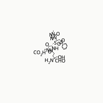 Cn1nnn(C(CS(=O)(=O)c2ccccc2)SC[C@H](NC(=O)CC[C@](N)(C=O)CO)C(=O)NCC(=O)O)c1=O